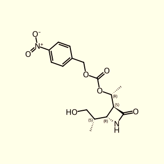 C[C@H](CO)[C@H]1NC(=O)[C@@H]1[C@@H](C)OC(=O)OCc1ccc([N+](=O)[O-])cc1